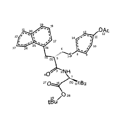 CCCC[C@H](NC(=O)[C@@H](CSc1ccc(OC(C)=O)cc1)Cc1cccc2ccccc12)C(=O)OC(C)(C)C